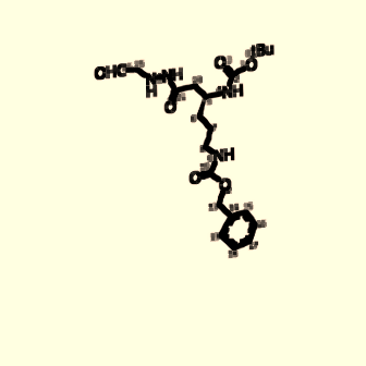 CC(C)(C)OC(=O)N[C@@H](CCCNC(=O)OCc1ccccc1)CC(=O)NNCC=O